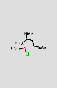 CNC(CCSC)C(=O)O.O=S(=O)(O)OCl